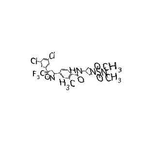 Cc1cc(C2=NO[C@@](c3cc(Cl)cc(Cl)c3)(C(F)(F)F)C2)ccc1C(=O)NC1CN(S(=O)(=O)N(C)C)C1